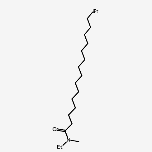 CCN(C)C(=O)CCCCCCCCCCCCCCC(C)C